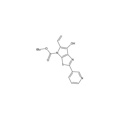 C=Cc1c(O)c2nc(-c3cccnc3)sc2n1C(=O)OC(C)(C)C